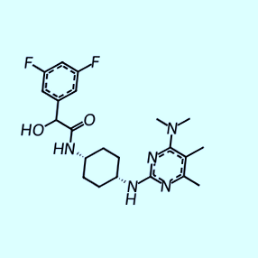 Cc1nc(N[C@H]2CC[C@@H](NC(=O)C(O)c3cc(F)cc(F)c3)CC2)nc(N(C)C)c1C